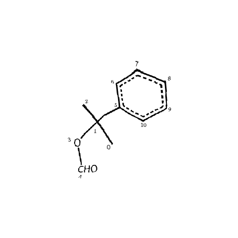 CC(C)(OC=O)c1ccccc1